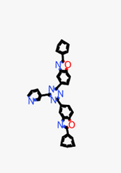 c1ccc(-c2nc3cc(-c4nc(-c5cccnc5)nc(-c5ccc6oc(-c7ccccc7)nc6c5)n4)ccc3o2)cc1